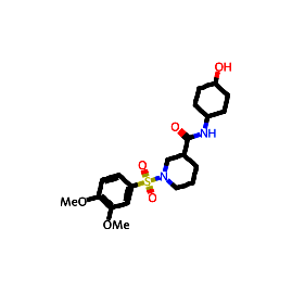 COc1ccc(S(=O)(=O)N2CCCC(C(=O)NC3CCC(O)CC3)C2)cc1OC